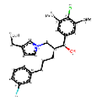 COc1cc([C@@H](O)[C@@H](CCCc2cccc(F)c2)Cn2ccc(CC(=O)O)c2)cc(OC)c1Cl